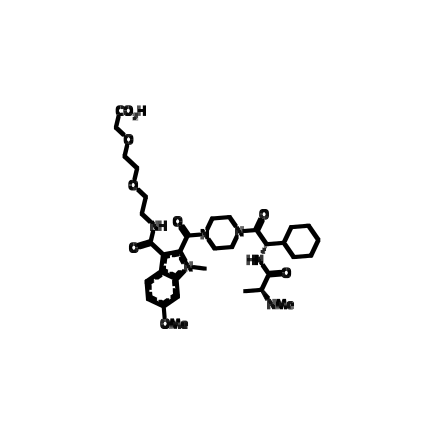 CN[C@@H](C)C(=O)N[C@H](C(=O)N1CCN(C(=O)c2c(C(=O)NCCOCCOCC(=O)O)c3ccc(OC)cc3n2C)CC1)C1CCCCC1